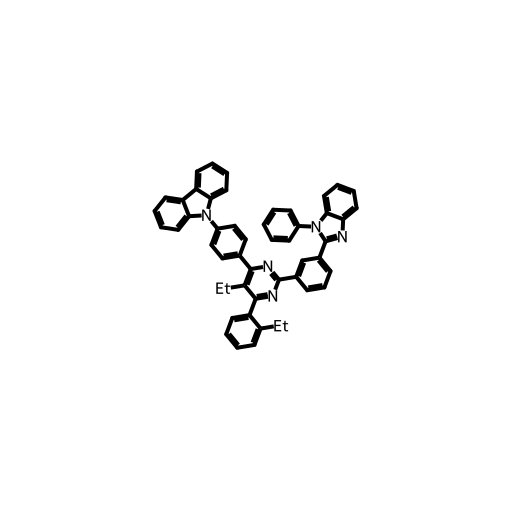 CCc1ccccc1-c1nc(-c2cccc(-c3nc4ccccc4n3-c3ccccc3)c2)nc(-c2ccc(-n3c4ccccc4c4ccccc43)cc2)c1CC